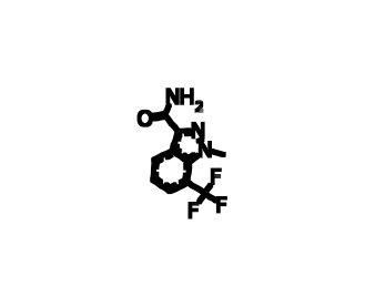 Cn1nc(C(N)=O)c2cccc(C(F)(F)F)c21